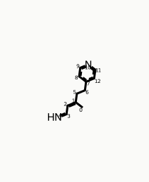 C/C(=C\C=N)CCc1ccncc1